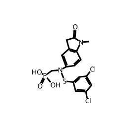 CN1C(=O)Cc2cc(N(CP(=O)(O)O)Sc3cc(Cl)cc(Cl)c3)ccc21